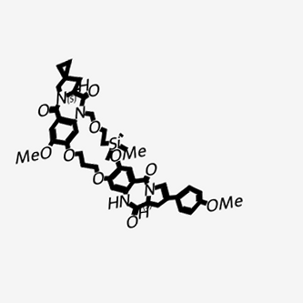 COc1ccc(C2=CN3C(=O)c4cc(OC)c(OCCCOc5cc6c(cc5OC)C(=O)N5CC7(CC7)C[C@H]5C(=O)N6COCC[Si](C)(C)C)cc4NC(=O)[C@@H]3C2)cc1